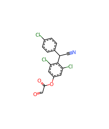 N#CC(c1ccc(Cl)cc1)c1c(Cl)cc(OC(=O)C=O)cc1Cl